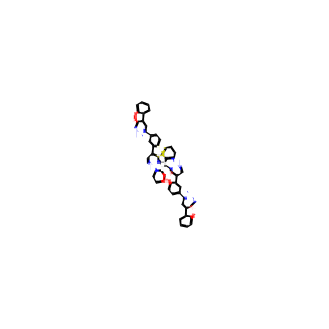 c1ccc([Si](c2ccccc2)(c2nccc3c2oc2ccc(-c4cc5c(cn4)oc4ccccc45)cc23)c2nccc3c2sc2ccc(-c4cc5c(cn4)oc4ccccc45)cc23)cc1